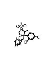 CC1N(S(C)(=O)=O)COC1(Cn1cncn1)c1ccc(Cl)cc1Cl